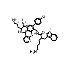 NCCCCC(Cc1c[nH]c2c1CCC=C2)C(=O)NCc1c(-c2ccc(S)cc2)ccc(F)c1Sc1ncccc1CNC(CCCN)C(N)=O